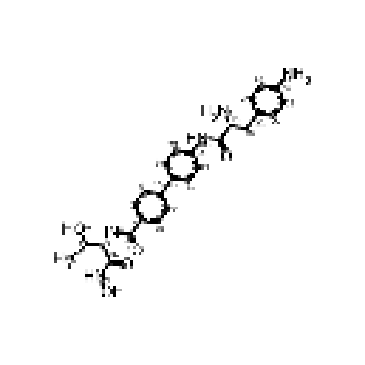 C[C@@H](O)[C@H](NC(=O)c1ccc(-c2ccc(NC(=O)[C@@H](N)Cc3ccc(N)cc3)cc2)cc1)C(=O)NO